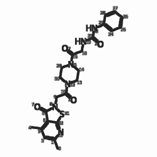 Cc1cc(C)c2c(=O)n(CC(=O)N3CCN(C(=O)CNC(=O)Nc4ccccc4)CC3)sc2n1